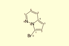 Brc1ccc2cccnn12